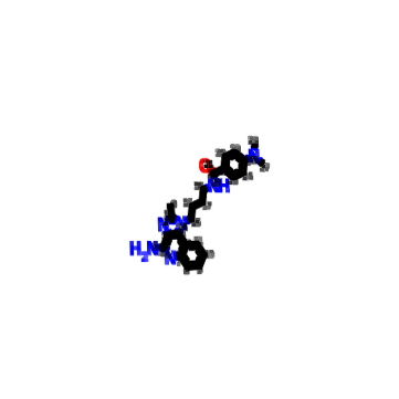 Cc1nc2c(N)nc3ccccc3c2n1CCCCNC(=O)c1ccc(N(C)C)cc1